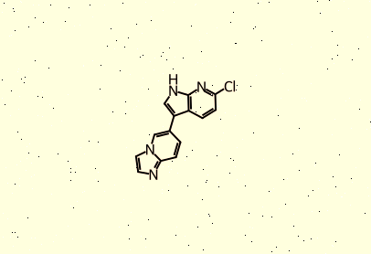 Clc1ccc2c(-c3ccc4nccn4c3)c[nH]c2n1